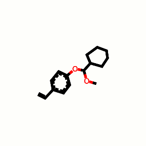 C=Cc1ccc(OC(OC)C2CCCCC2)cc1